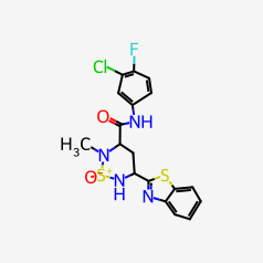 CN1C(C(=O)Nc2ccc(F)c(Cl)c2)CC(c2nc3ccccc3s2)N[S+]1[O-]